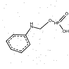 O=[PH](O)OCNc1ccccc1